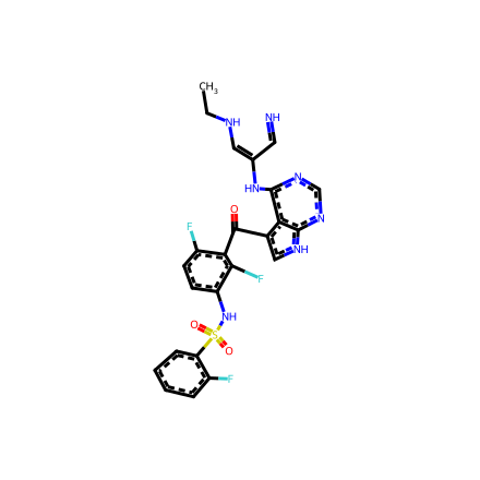 CCN/C=C(\C=N)Nc1ncnc2[nH]cc(C(=O)c3c(F)ccc(NS(=O)(=O)c4ccccc4F)c3F)c12